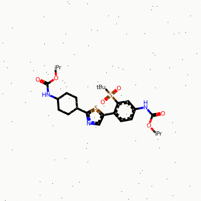 CC(C)OC(=O)Nc1ccc(-c2cnc(C3CCC(NC(=O)OC(C)C)CC3)s2)c(S(=O)(=O)C(C)(C)C)c1